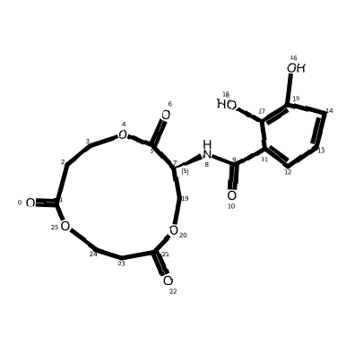 O=C1CCOC(=O)[C@@H](NC(=O)c2cccc(O)c2O)COC(=O)CCO1